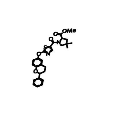 COC(=O)C1CC(C)(C)CN1C(=O)c1cnc(Oc2ccc3c(c2)CCC(c2ccccc2)O3)s1